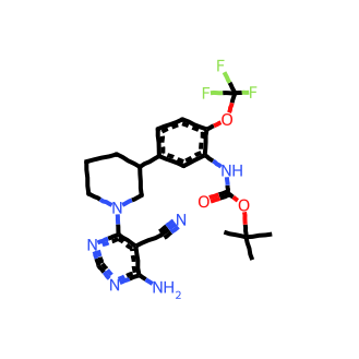 CC(C)(C)OC(=O)Nc1cc(C2CCCN(c3ncnc(N)c3C#N)C2)ccc1OC(F)(F)F